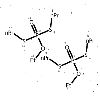 CCCSP(=O)(OCC)SCCC.CCCSP(=O)(OCC)SCCC